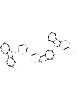 N#CC1=Cc2c(c3ccccc3n2-c2ccc3oc4c(c3c2)C=C(C2=CC=CC(n3c5ccccc5c5ccc(C#N)cc53)C2)CC4)CC1